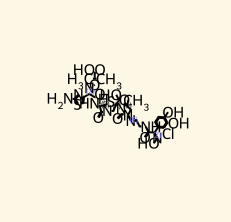 C[C@H]1CN(/N=C/CNC(=O)/C(=N\O)c2ccc(O)c(O)c2Cl)C(=O)N1[C@]1(C(=O)O)CN2C(=O)C(NC(=O)/C(=N\OC(C)(C)C(=O)O)c3csc(N)n3)[C@H]2S1